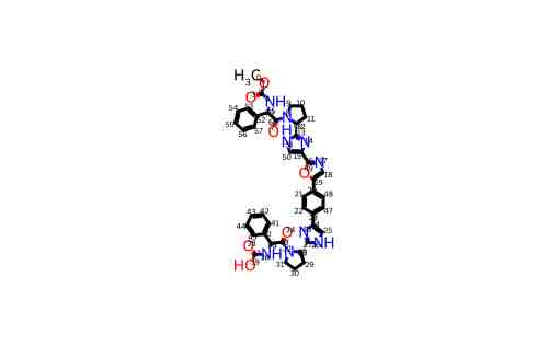 COC(=O)N[C@@H](C(=O)N1CCC[C@H]1c1nc(-c2ncc(-c3ccc(-c4c[nH]c([C@@H]5CCCN5C(=O)[C@H](NC(=O)O)c5ccccc5)n4)cc3)o2)c[nH]1)c1ccccc1